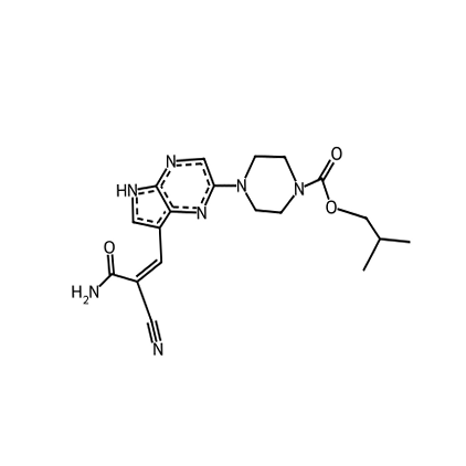 CC(C)COC(=O)N1CCN(c2cnc3[nH]cc(C=C(C#N)C(N)=O)c3n2)CC1